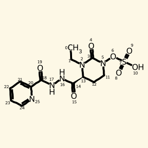 CCN1C(=O)N(OS(=O)(=O)O)CC[C@H]1C(=O)NNC(=O)c1ccccn1